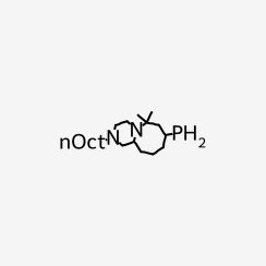 CCCCCCCCN1CCN2C(CCCC(P)CC2(C)C)C1